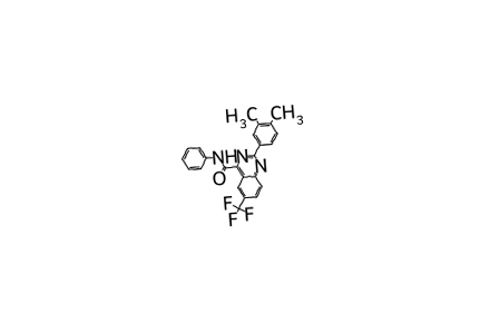 Cc1ccc(-c2nc(C(=O)Nc3ccccc3)c3cc(C(F)(F)F)ccc3n2)cc1C